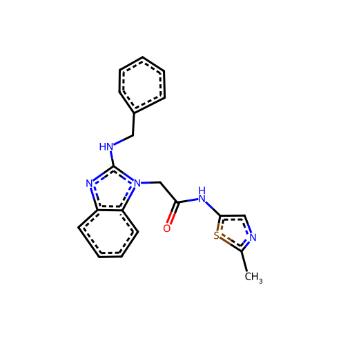 Cc1ncc(NC(=O)Cn2c(NCc3ccccc3)nc3ccccc32)s1